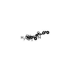 CC(C)(C)OC(=O)N1CCC(Oc2ccccc2-c2ccc(C(=O)NCCC3CCN(Cc4ccccc4)CC3)s2)CC1